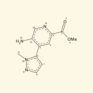 COC(=O)c1cc(-c2ccnn2C)c(N)cn1